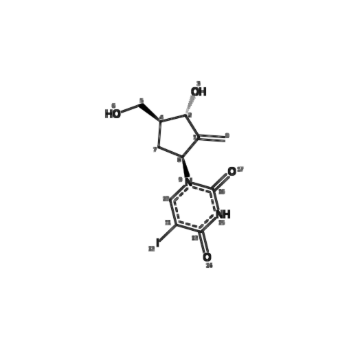 C=C1[C@@H](O)[C@H](CO)C[C@@H]1n1cc(I)c(=O)[nH]c1=O